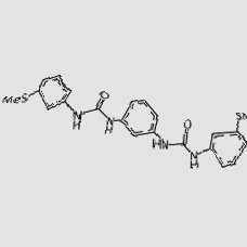 CSc1cccc(NC(=O)Nc2cccc(NC(=O)Nc3cccc(SC)c3)c2)c1